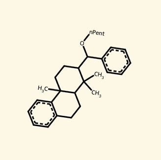 CCCCCOC(c1ccccc1)C1CCC2(C)c3ccccc3CCC2C1(C)C